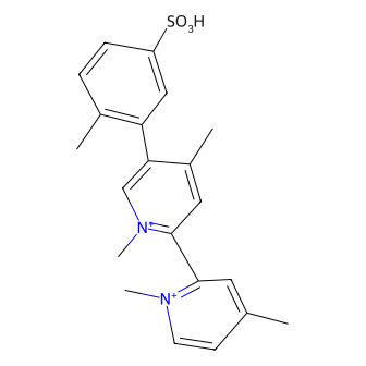 Cc1cc[n+](C)c(-c2cc(C)c(-c3cc(S(=O)(=O)O)ccc3C)c[n+]2C)c1